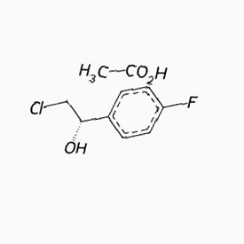 CC(=O)O.O[C@H](CCl)c1ccc(F)cc1